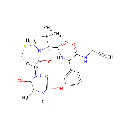 C#CCNC(=O)C(NC(=O)[C@H]1N2C(=O)[C@@H](NC(=O)C(C)N(C)C(=O)O)CCS[C@H]2CC1(C)C)c1ccccc1